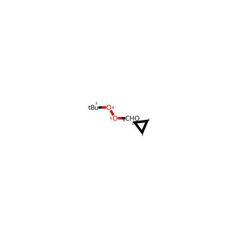 C1CC1.CC(C)(C)OOC=O